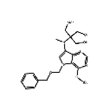 CSCC(CO)(CO)N(C)c1cn(COCc2ccccc2)c2c(OC(C)(C)C)ncnc12